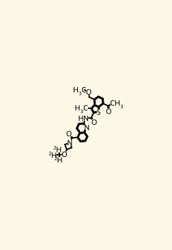 [2H]C([2H])([2H])OC1CN(C(=O)c2cccc3nc(NC(=O)c4sc5c(C(C)=O)ccc(COC)c5c4C)ccc23)C1